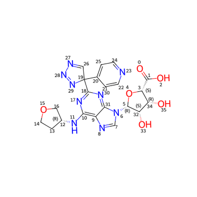 O=C(O)[C@H]1O[C@@H](n2cnc3c(N[C@@H]4CCOC4)nc(C4(c5ccncc5)C=NN=N4)nc32)[C@@H](O)[C@H]1O